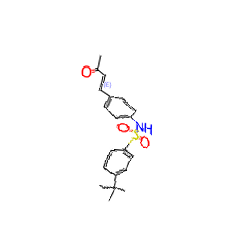 CC(=O)/C=C/c1ccc(NS(=O)(=O)c2ccc(C(C)(C)C)cc2)cc1